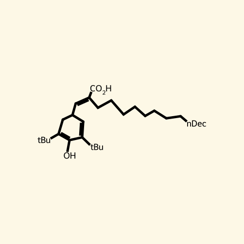 CCCCCCCCCCCCCCCCCCC(=CC1C=C(C(C)(C)C)C(O)=C(C(C)(C)C)C1)C(=O)O